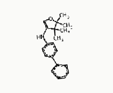 CC1(C)OC=C(Nc2ccc(-c3ccccc3)cc2)C1(C)C